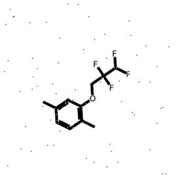 Cc1[c]c(OCC(F)(F)C(F)F)c(C)cc1